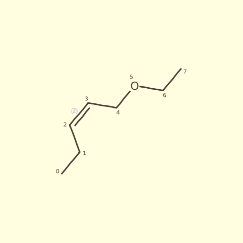 CC/C=C\COCC